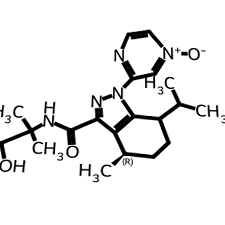 CC(C)C1CC[C@@H](C)c2c(C(=O)NC(C)(C)CO)nn(-c3c[n+]([O-])ccn3)c21